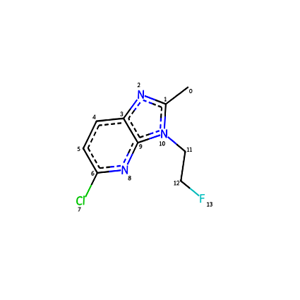 Cc1nc2ccc(Cl)nc2n1CCF